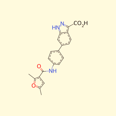 Cc1cc(C(=O)Nc2ccc(-c3ccc4c(C(=O)O)n[nH]c4c3)cc2)c(C)o1